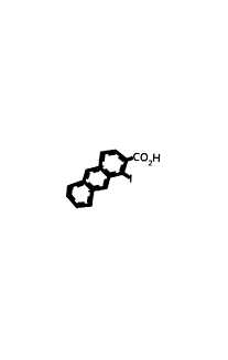 O=C(O)c1ccc2cc3ccccc3cc2c1I